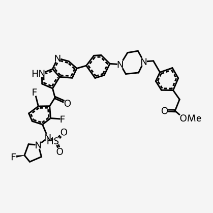 COC(=O)Cc1ccc(CN2CCN(c3ccc(-c4cnc5[nH]cc(C(=O)c6c(F)ccc(N(N7CC[C@@H](F)C7)[SH](=O)=O)c6F)c5c4)cc3)CC2)cc1